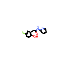 O=C(Cc1cc(F)ccc1O)Nc1ccccn1